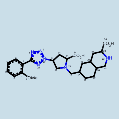 COc1ccccc1-c1nnn(C2CC(C(=O)O)N(CC3CCC4CNC(C(=O)O)CC4C3)C2)n1